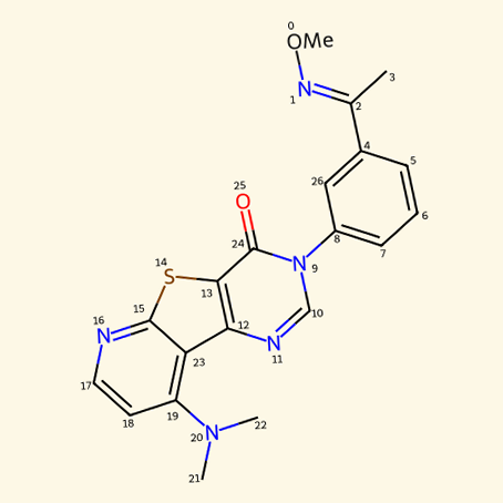 CON=C(C)c1cccc(-n2cnc3c(sc4nccc(N(C)C)c43)c2=O)c1